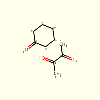 CC(=O)C(C)=O.O=C1CCCCC1